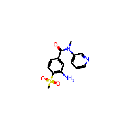 CN(C(=O)c1ccc(S(C)(=O)=O)c(N)c1)c1cccnc1